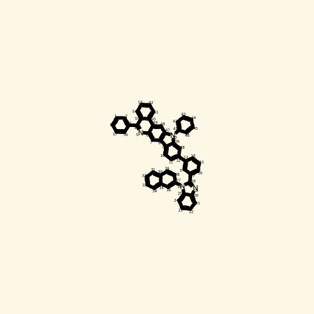 c1ccc(-c2nc3cc4c5ccc(-c6cccc(-c7nc8ccccc8n7-c7ccc8ccccc8c7)c6)cc5n(-c5ccccc5)c4cc3c3ccccc23)cc1